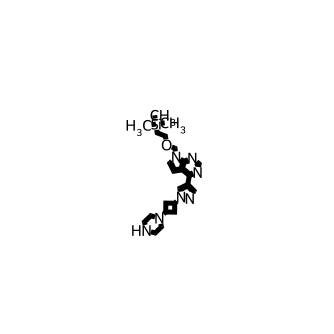 C[Si](C)(C)CCOCn1ccc2c(-c3cnn(C4CC(N5CCNCC5)C4)c3)ncnc21